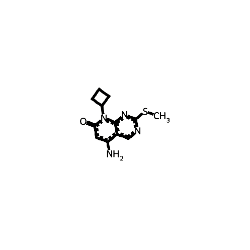 CSc1ncc2c(N)cc(=O)n(C3CCC3)c2n1